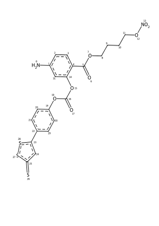 Nc1ccc(C(=O)OCCCCO[N+](=O)[O-])c(OC(=O)Oc2ccc(-c3cc(=S)ss3)cc2)c1